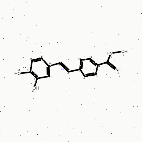 N=C(NO)c1ccc(/C=C/c2ccc(O)c(O)c2)cc1